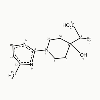 CCC(C(=O)O)C1(O)CCN(c2nccc(C(F)(F)F)n2)CC1